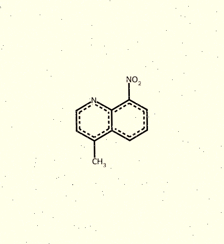 Cc1ccnc2c([N+](=O)[O-])cccc12